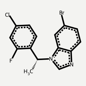 C[C@H](c1ccc(Cl)cc1F)n1cnc2ccc(Br)cc21